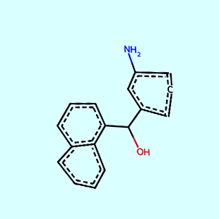 Nc1cccc(C(O)c2cccc3ccccc23)c1